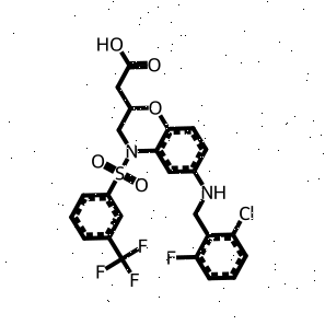 O=C(O)CC1CN(S(=O)(=O)c2cccc(C(F)(F)F)c2)c2cc(NCc3c(F)cccc3Cl)ccc2O1